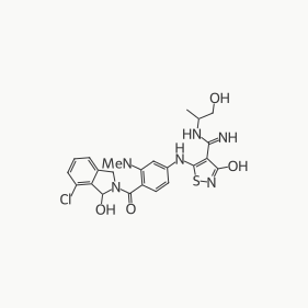 CNc1cc(Nc2snc(O)c2C(=N)NC(C)CO)ccc1C(=O)N1Cc2cccc(Cl)c2C1O